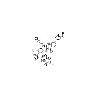 CC(C)(Cl)CCNC(=N)N(C(=O)c1ccc(-c2cnn(C(F)F)c2)cc1)[C@H](COC(=O)NC1(C(F)(F)F)CC1)c1ccc(Cl)c(-c2ncnn2C(F)F)c1